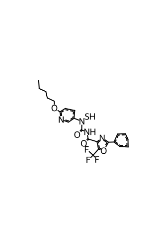 CCCCCOc1ccc(N(S)C(=O)NC(=O)c2nc(-c3ccccc3)oc2C(F)(F)F)cn1